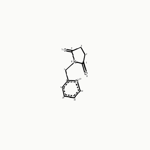 O=C1CCC(=O)N1Cc1ccccn1